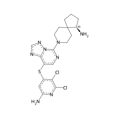 Nc1cc(Sc2cnc(N3CCC4(CCC[C@H]4N)CC3)n3ncnc23)c(Cl)c(Cl)n1